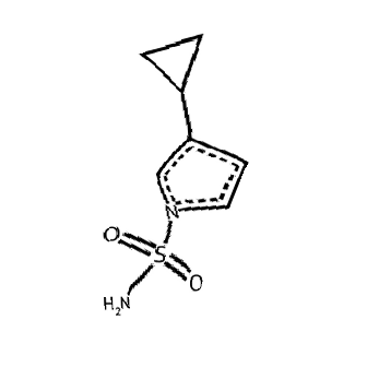 NS(=O)(=O)n1ccc(C2CC2)c1